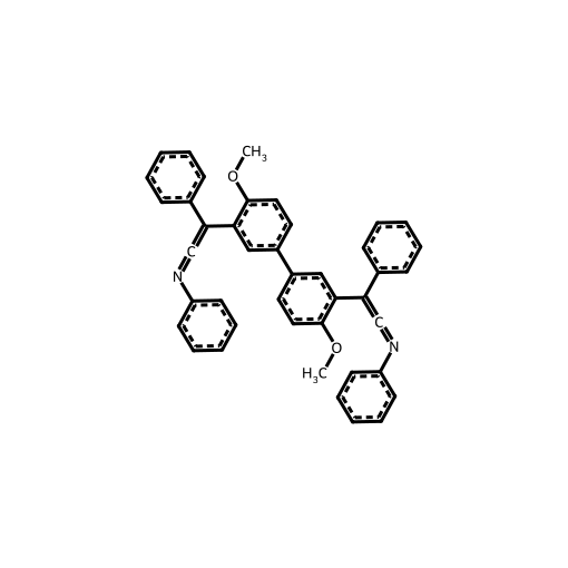 COc1ccc(-c2ccc(OC)c(C(=C=Nc3ccccc3)c3ccccc3)c2)cc1C(=C=Nc1ccccc1)c1ccccc1